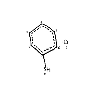 Sc1ccccc1.[O]